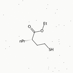 CCC[C@@H](CCS)C(=O)OCC